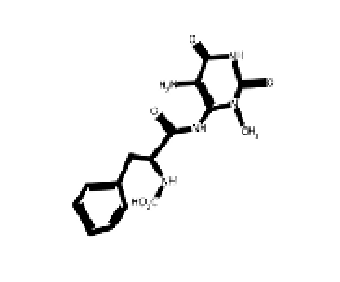 Cn1c(NC(=O)C(Cc2ccccc2)NC(=O)O)c(N)c(=O)[nH]c1=O